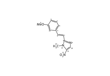 COc1cccc(/C=C/c2ncc([N+](=O)[O-])n2C)c1